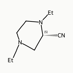 CCN1CCN(CC)[C@H](C#N)C1